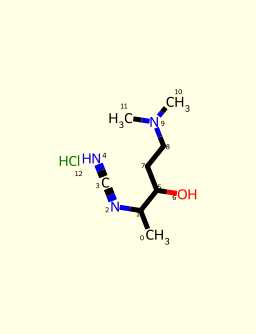 CC(N=C=N)C(O)CCN(C)C.Cl